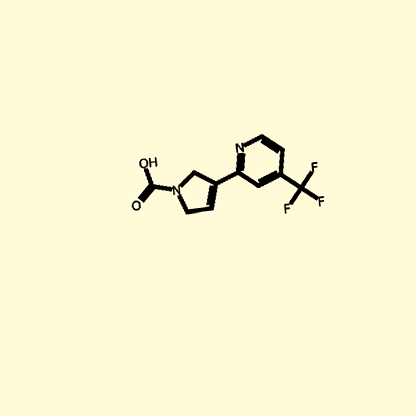 O=C(O)N1CC=C(c2cc(C(F)(F)F)ccn2)C1